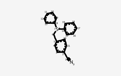 N#Cc1ccc(C[S+](c2ccccc2)c2ccccc2)cc1